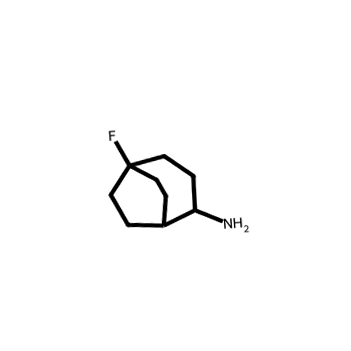 NC1CCC2(F)CCC1CC2